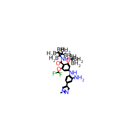 BC(B)(B)Oc1cc(Nc2ccc(-c3cnn(C)c3)cc2N)cc(OC(F)F)c1C(=O)NC1(B)C(B)(B)C1(B)B